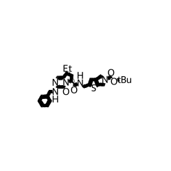 CC[C@H]1C[C@@H](C(=O)NCc2cc3c(s2)CN(C(=O)OC(C)(C)C)C3)n2c1cnc(NCc1ccccc1)c2=O